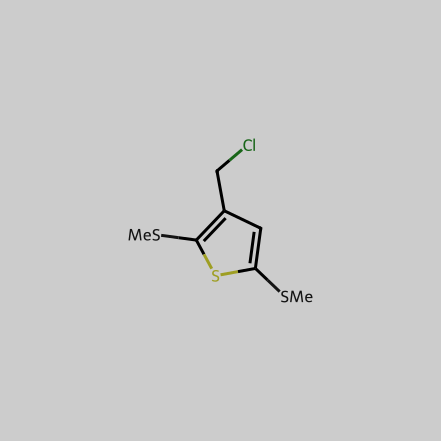 CSc1cc(CCl)c(SC)s1